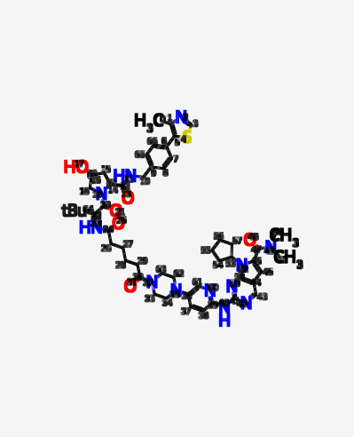 Cc1ncsc1-c1ccc(CNC(=O)[C@@H]2C[C@@H](O)CN2C(=O)[C@@H](NC(=O)CCCCC(=O)N2CCN(c3ccc(Nc4ncc5cc(C(=O)N(C)C)n(C6CCCC6)c5n4)nc3)CC2)C(C)(C)C)cc1